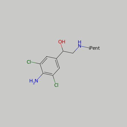 CCCC(C)NCC(O)c1cc(Cl)c(N)c(Cl)c1